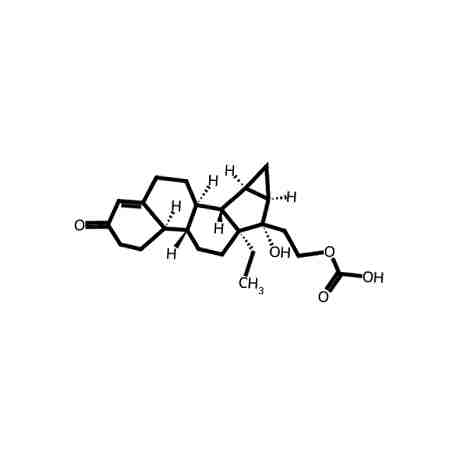 CC[C@]12CC[C@H]3[C@@H](CCC4=CC(=O)CC[C@@H]43)[C@@H]1[C@H]1C[C@H]1[C@@]2(O)CCOC(=O)O